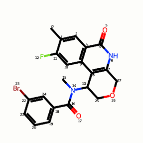 Cc1cc2c(=O)[nH]c3c(c2cc1F)C(N(C)C(=O)c1cccc(Br)c1)COC3